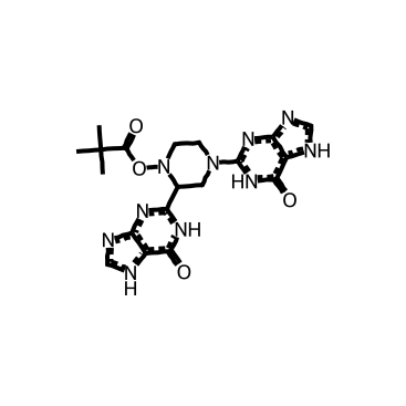 CC(C)(C)C(=O)ON1CCN(c2nc3nc[nH]c3c(=O)[nH]2)CC1c1nc2nc[nH]c2c(=O)[nH]1